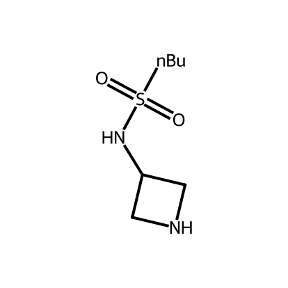 CCCCS(=O)(=O)NC1CNC1